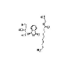 CCCCCCCCCC(=O)OCC1CO1.O=C1OC(=O)c2ccccc21.OCC(O)CO